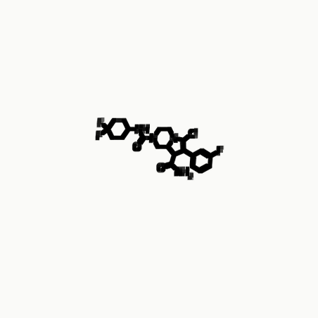 NC(=O)C1C(c2cccc(F)c2)=C(Cl)N2CCN(C(=O)NC3CCC(F)(F)CC3)CC12